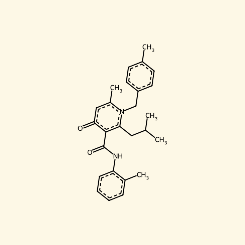 Cc1ccc(Cn2c(C)cc(=O)c(C(=O)Nc3ccccc3C)c2CC(C)C)cc1